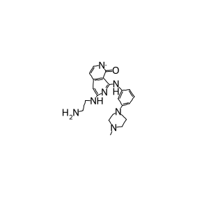 CN1CCN(c2cccc(Nc3nc(NCCN)cc4c3C(=O)[N]C=C4)c2)CC1